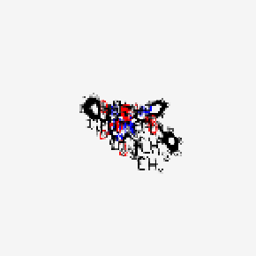 CCC(C)[C@@H](C(=O)N[C@@H](C)C(=O)N(C)C(Cc1ccccc1)C(=O)N(C)C(C(=O)NC(CC(=O)OCc1ccccc1)C(=O)N1CCCCC1)C(C)C)N(C)C(=O)OC(C)(C)C